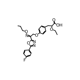 CCCO/N=C(\COc1ccc(CC(OCC)C(=O)O)cc1)c1nnc(-c2ccc(F)cc2)o1